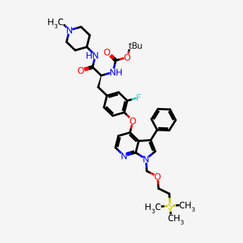 CN1CCC(NC(=O)[C@H](Cc2ccc(Oc3ccnc4c3c(-c3ccccc3)cn4COCCS(C)(C)C)c(F)c2)NC(=O)OC(C)(C)C)CC1